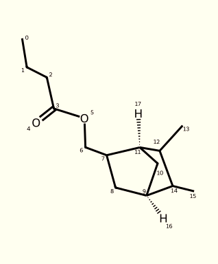 CCCC(=O)OCC1C[C@H]2C[C@@H]1C(C)C2C